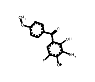 COc1ccc(C(=O)c2cc(F)c(O)c(N)c2O)cc1